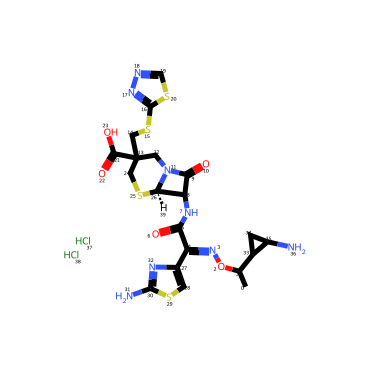 CC(ON=C(C(=O)NC1C(=O)N2CC(CSc3nncs3)(C(=O)O)CS[C@H]12)c1csc(N)n1)C1CC1N.Cl.Cl